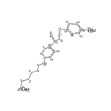 CCCCCCCCCCCCCCCSc1ccc(C(=O)/C=C/c2ccc(CCCC)cc2)cc1